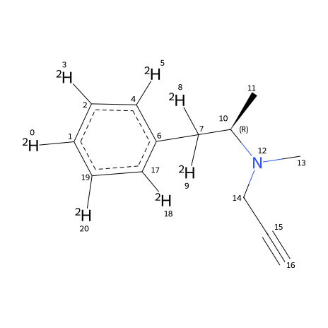 [2H]c1c([2H])c([2H])c(C([2H])([2H])[C@@H](C)N(C)CC#C)c([2H])c1[2H]